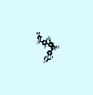 CN1CCN2c3ccc(-c4n[nH]c5cc(C#N)c(-c6c(F)cc(C(=O)N7CC(N(C)C)C7)cc6F)cc45)cc3OCC2C1